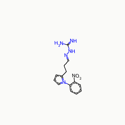 N=C(N)NN=CCCc1cccn1-c1ccccc1[N+](=O)[O-]